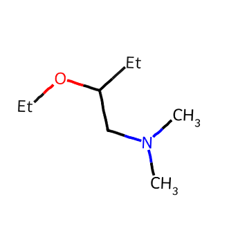 CCOC(CC)CN(C)C